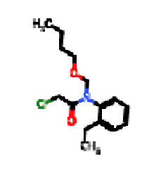 CCCCOCN(C(=O)CCl)c1ccccc1CC